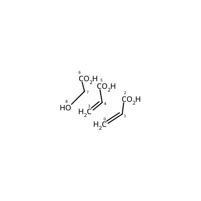 C=CC(=O)O.C=CC(=O)O.O=C(O)CO